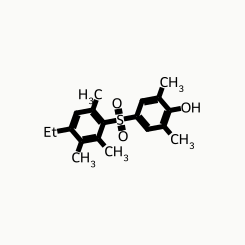 CCc1cc(C)c(S(=O)(=O)c2cc(C)c(O)c(C)c2)c(C)c1C